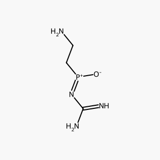 N=C(N)/N=[P+](\[O-])CCN